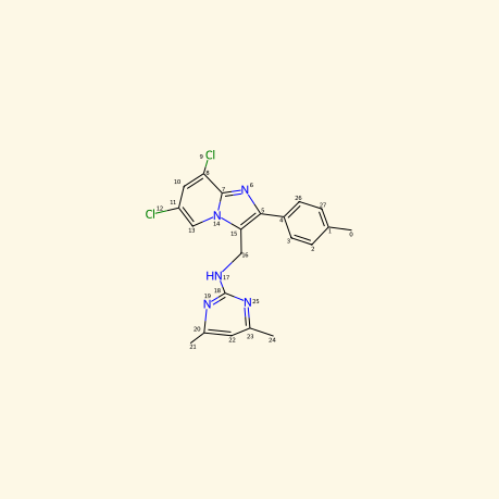 Cc1ccc(-c2nc3c(Cl)cc(Cl)cn3c2CNc2nc(C)cc(C)n2)cc1